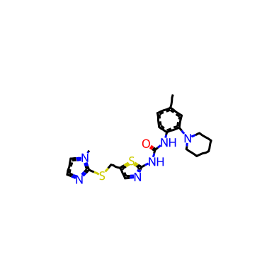 Cc1ccc(NC(=O)Nc2ncc(CSc3nccn3C)s2)c(N2CCCCC2)c1